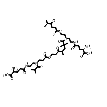 CC(C)C(=O)CCC(=O)OCCN(CCNC(=O)CC[C@H](N)C(=O)O)C(=O)C(C)(C)CC(C)C(=O)CCOC(=O)CCN(CCNC(=O)CC[C@H](N)C(=O)O)C(=O)C(C)C